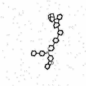 c1ccc(-c2ccc(N(c3ccc(-c4ccc(-c5cccc(-c6ccc7c(c6)-c6ccccc6C76C7CC8CC(C7)CC6C8)c5)cc4)cc3)c3ccc4oc5ccccc5c4c3)cc2)cc1